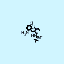 C/C=C(Cl)\C(=C/c1cc(Cl)ccc1N)[C@H](C)N[S@+]([O-])C(C)(C)C